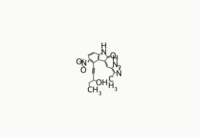 CCC(O)C#Cc1c([N+](=O)[O-])ccc2c1C(=Cc1[nH]cnc1C)C(=O)N2